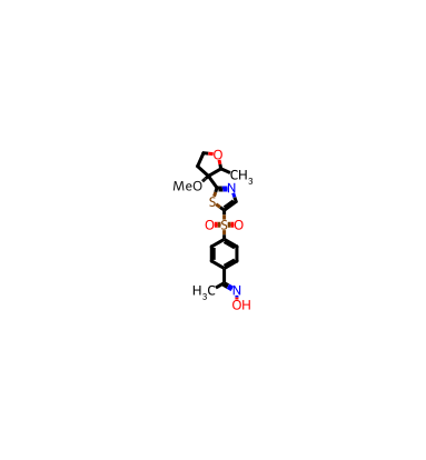 COC1(c2ncc(S(=O)(=O)c3ccc(C(C)=NO)cc3)s2)CCOC1C